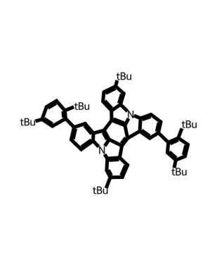 CC(C)(C)c1ccc(C(C)(C)C)c(-c2ccc3c(c2)c2c4c5ccc(C(C)(C)C)cc5n5c6ccc(-c7cc(C(C)(C)C)ccc7C(C)(C)C)cc6c(c6c7ccc(C(C)(C)C)cc7n3c26)c45)c1